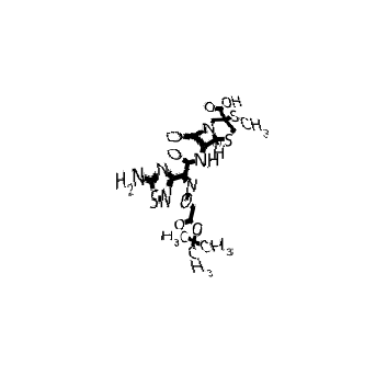 CSC1(C(=O)O)CS[C@@H]2C(NC(=O)C(=NOCC(=O)OC(C)(C)C)c3nsc(N)n3)C(=O)N2C1